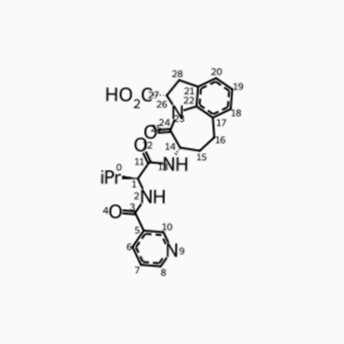 CC(C)[C@H](NC(=O)c1cccnc1)C(=O)N[C@H]1CCc2cccc3c2N(C1=O)[C@H](C(=O)O)C3